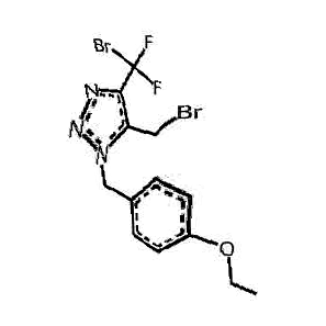 CCOc1ccc(Cn2nnc(C(F)(F)Br)c2CBr)cc1